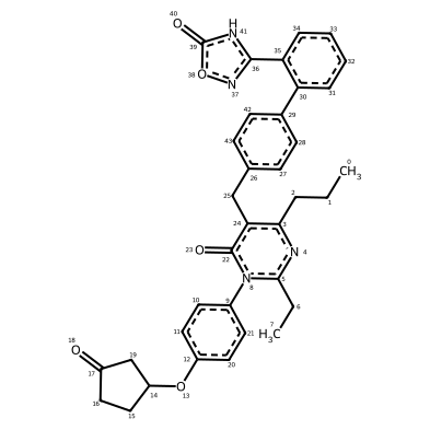 CCCc1nc(CC)n(-c2ccc(OC3CCC(=O)C3)cc2)c(=O)c1Cc1ccc(-c2ccccc2-c2noc(=O)[nH]2)cc1